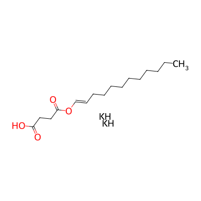 CCCCCCCCCC/C=C/OC(=O)CCC(=O)O.[KH].[KH]